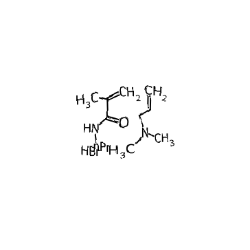 Br.C=C(C)C(=O)NCCC.C=CCN(C)C